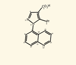 CC(C)c1c(C(=O)O)cnn1-c1cccc2ncccc12